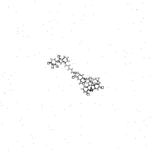 COc1cc(C(=O)NCCCCCc2cccc3c2CN(C2CCC(=O)NC2=O)C3=O)ccc1NC(=O)[C@@H]1NC2(CCC(C)(C)CC2)[C@](C#N)(c2ccc(Cl)cc2F)[C@H]1c1cccc(Cl)c1F